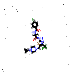 CC(C)(NC(=O)c1ccc(F)cc1)C(=O)Nc1nc(C(F)(F)F)c(CN2CCN(C3CC3)CC2)s1